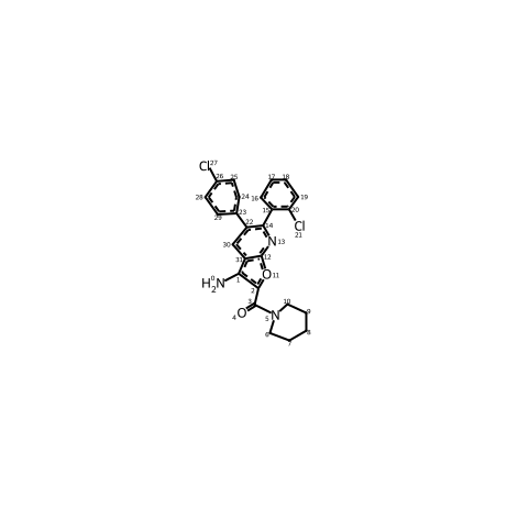 Nc1c(C(=O)N2CCCCC2)oc2nc(-c3ccccc3Cl)c(-c3ccc(Cl)cc3)cc12